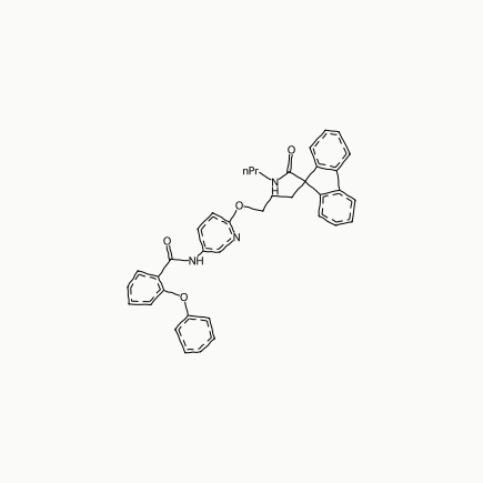 CCCNC(=O)C1(CCCOc2ccc(NC(=O)c3ccccc3Oc3ccccc3)cn2)c2ccccc2-c2ccccc21